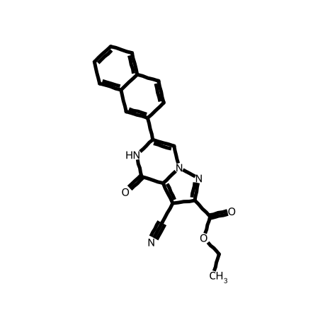 CCOC(=O)c1nn2cc(-c3ccc4ccccc4c3)[nH]c(=O)c2c1C#N